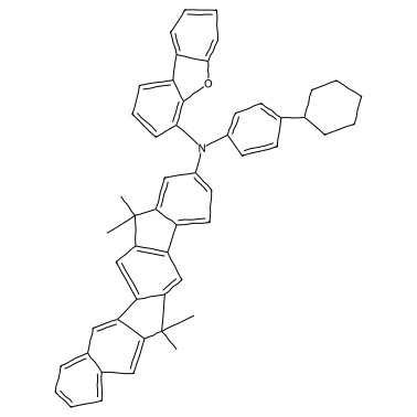 CC1(C)c2cc(N(c3ccc(C4CCCCC4)cc3)c3cccc4c3oc3ccccc34)ccc2-c2cc3c(cc21)-c1cc2ccccc2cc1C3(C)C